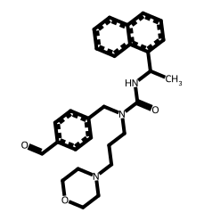 CC(NC(=O)N(CCCN1CCOCC1)Cc1ccc(C=O)cc1)c1cccc2ccccc12